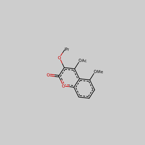 COc1cccc2oc(=O)c(OC(C)C)c(OC(C)=O)c12